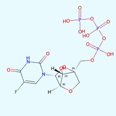 O=c1[nH]c(=O)n([C@@H]2O[C@@]3(COP(=O)(O)OP(=O)(O)OP(=O)(O)O)CO[C@@H]2[C@@H]3O)cc1F